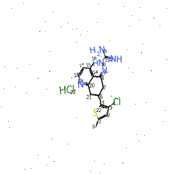 Cc1cc(Cl)c(C2C/C(=N/NC(=N)N)c3c(C)ccnc3C2)s1.Cl